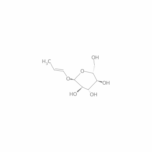 CC=CO[C@H]1O[C@H](CO)[C@@H](O)[C@H](O)[C@H]1O